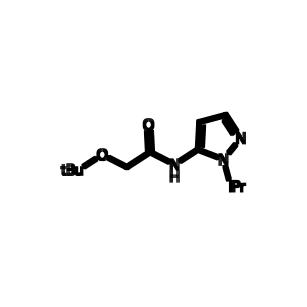 CC(C)n1nccc1NC(=O)COC(C)(C)C